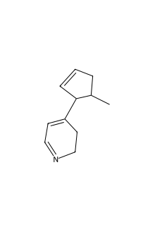 CC1CC=CC1C1=CC=NCC1